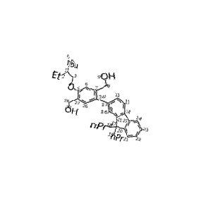 CCCCC(CC)COc1cc(CO)c(-c2ccc3c(c2)C(CCC)(CCC)c2ccccc2-3)cc1CO